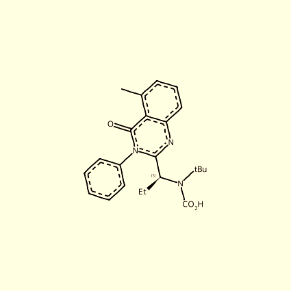 CC[C@@H](c1nc2cccc(C)c2c(=O)n1-c1ccccc1)N(C(=O)O)C(C)(C)C